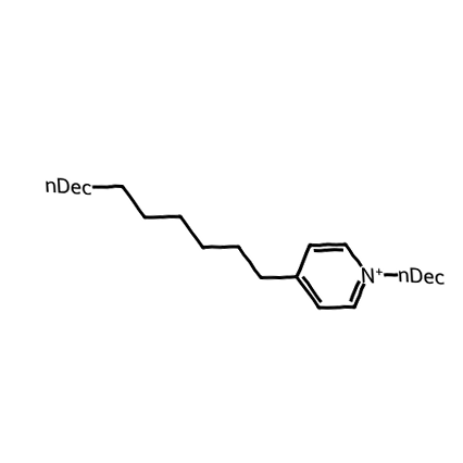 CCCCCCCCCCCCCCCCc1cc[n+](CCCCCCCCCC)cc1